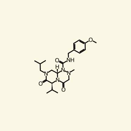 COc1ccc(CNC(=O)N2[C@H]3CN(CC(C)C)C(=O)[C@H](C(C)C)N3C(=O)CN2C)cc1